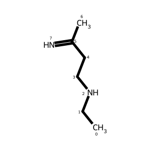 CCNCCC(C)=N